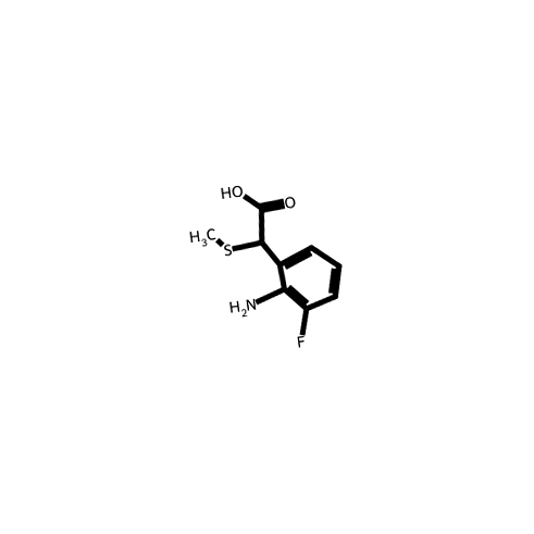 CSC(C(=O)O)c1cccc(F)c1N